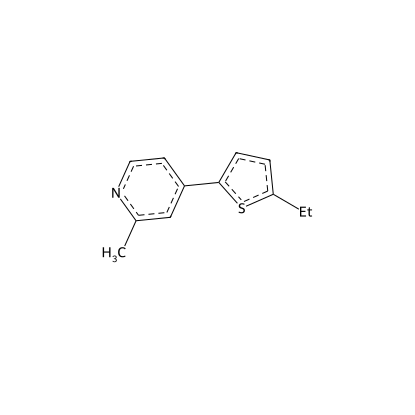 CCc1ccc(-c2ccnc(C)c2)s1